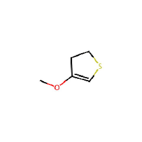 COC1=CSCC1